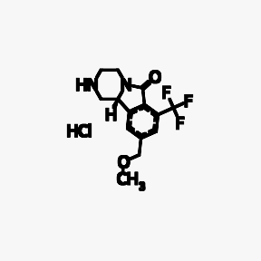 COCc1cc2c(c(C(F)(F)F)c1)C(=O)N1CCNC[C@@H]21.Cl